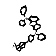 C[C@H]1C2CC3(c4ccc(N(c5ccccc5)c5ccc6c(c5)sc5c(N(c7ccccc7)c7ccccc7)cccc56)cc4)CC2CC13